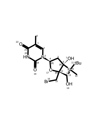 Cc1cn([C@H]2C[C@@](O)([Si](C)(C)C(C)(C)C)[C@](CO)(CBr)O2)c(=O)[nH]c1=O